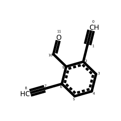 C#Cc1cccc(C#C)c1C=O